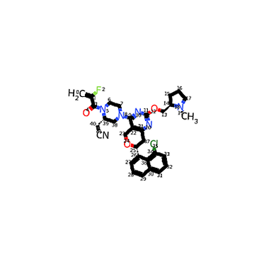 C=C(F)C(=O)N1CCN(c2nc(OC[C@H]3CCCN3C)nc3c2CO[C@@H](c2cccc4cccc(Cl)c24)C3)C[C@@H]1CC#N